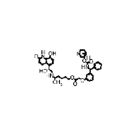 CC(CCCCOC(=O)COc1cccc(C(NC(=O)O[C@H]2CN3CCC2CC3)c2ccccc2)c1)NC[C@H](O)c1ccc(O)c2[nH]c(=O)ccc12